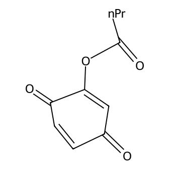 CCCC(=O)OC1=CC(=O)C=CC1=O